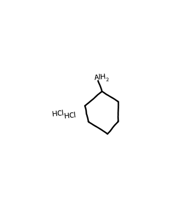 Cl.Cl.[AlH2][CH]1CCCCC1